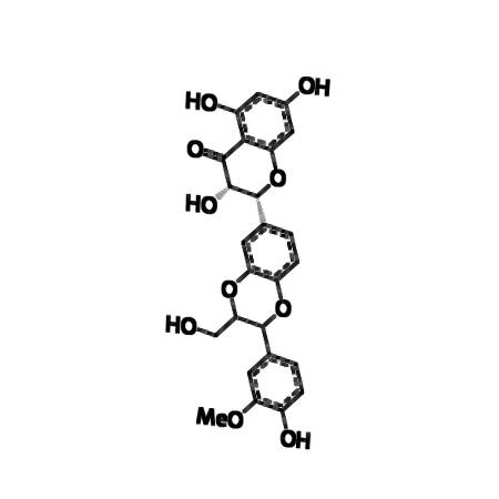 COc1cc(C2Oc3ccc([C@H]4Oc5cc(O)cc(O)c5C(=O)[C@H]4O)cc3OC2CO)ccc1O